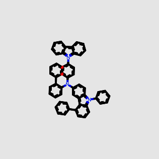 c1ccc(-c2ccccc2N(c2ccc(-n3c4ccccc4c4ccccc43)cc2)c2ccc3c(c2)c2c(-c4ccccc4)cccc2n3-c2ccccc2)cc1